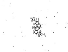 CS(=O)(=O)c1cccc(Nc2nccc3[nH]c(-c4ccsc4)cc23)c1